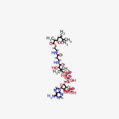 C=C(CC(=O)C(C)C(=O)SCCNC(=O)CCNC(=O)[C@H](O)C(C)(C)COP(=O)(O)OP(=O)(O)OC[C@H]1O[C@@H](n2cnc3c(N)ncnc32)[C@H](O)[C@@H]1OP(=O)(O)O)C(C)C